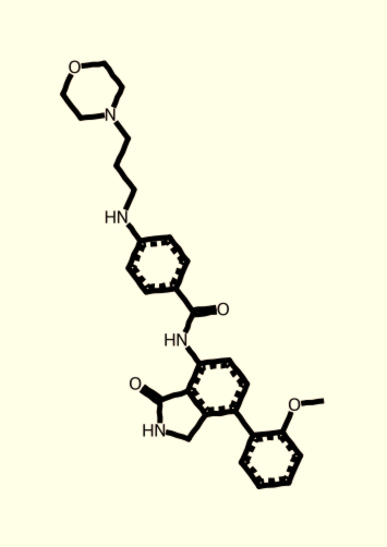 COc1ccccc1-c1ccc(NC(=O)c2ccc(NCCCN3CCOCC3)cc2)c2c1CNC2=O